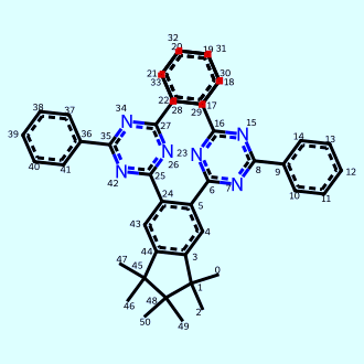 CC1(C)c2cc(-c3nc(-c4ccccc4)nc(-c4ccccc4)n3)c(-c3nc(-c4ccccc4)nc(-c4ccccc4)n3)cc2C(C)(C)C1(C)C